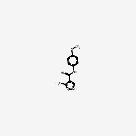 Cc1n[nH]cc1C(=N)Nc1ccc(OC(F)(F)F)cc1